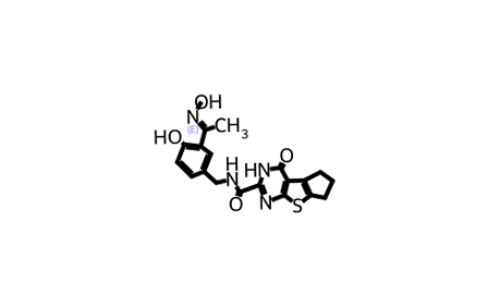 C/C(=N\O)c1cc(CNC(=O)c2nc3sc4c(c3c(=O)[nH]2)CCC4)ccc1O